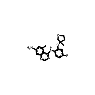 Cc1cc(N)cc2ncnc(Nc3ccc(F)cc3OC3(C)CCOC3)c12